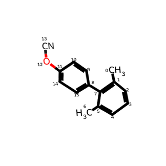 Cc1cccc(C)c1-c1ccc(OC#N)cc1